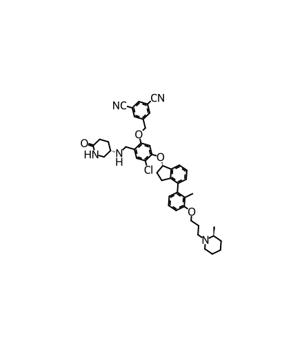 Cc1c(OCCCN2CCCC[C@@H]2C)cccc1-c1cccc2c1CC[C@@H]2Oc1cc(OCc2cc(C#N)cc(C#N)c2)c(CN[C@H]2CCC(=O)NC2)cc1Cl